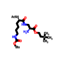 CC(=O)N[C@@H](CCCCNC(=O)OC(C)(C)C)C(=O)NC[C@@H](N)C(=O)OCC[Si](C)(C)C